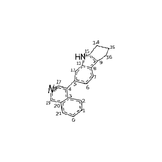 c1ccc2c(-c3ccc4c5c([nH]c4c3)CCC5)cncc2c1